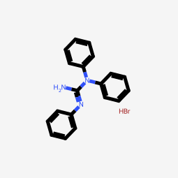 Br.NC(=Nc1ccccc1)N(c1ccccc1)c1ccccc1